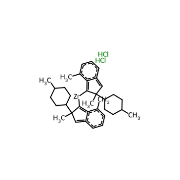 Cc1cccc2c1=[C]([Zr][C]1=c3c(C)cccc3=CC1(C)C1CCC(C)CC1)C(C)(C1CCC(C)CC1)C=2.Cl.Cl